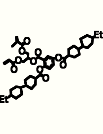 C=CC(=O)OCC(COC(=O)C(=C)C)OC(=O)c1cc(OC(=O)C2CCC(C3CCC(CC)CC3)CC2)ccc1OC(=O)C1CCC(C2CCC(CC)CC2)CC1